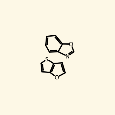 c1cc2sccc2o1.c1ccc2ocnc2c1